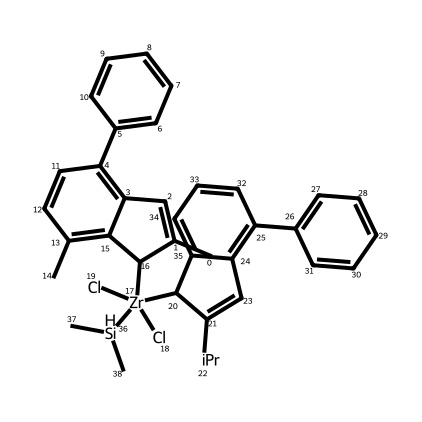 CC1=Cc2c(-c3ccccc3)ccc(C)c2[CH]1[Zr]([Cl])([Cl])([CH]1C(C(C)C)=Cc2c(-c3ccccc3)cccc21)[SiH](C)C